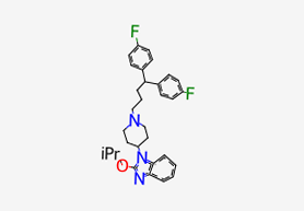 CC(C)Oc1nc2ccccc2n1C1CCN(CCCC(c2ccc(F)cc2)c2ccc(F)cc2)CC1